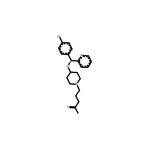 CC(=O)CCCN1CCC(O[C@@H](c2ccc(Cl)cc2)c2ccccn2)CC1